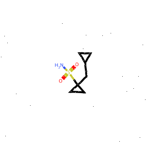 NS(=O)(=O)C1(CC2CC2)CC1